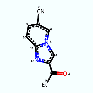 CCC(=O)c1cn2cc(C#N)ccc2n1